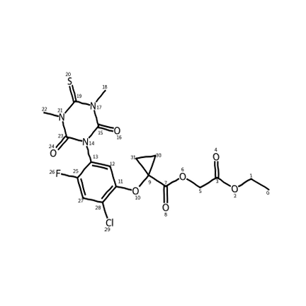 CCOC(=O)COC(=O)C1(Oc2cc(-n3c(=O)n(C)c(=S)n(C)c3=O)c(F)cc2Cl)CC1